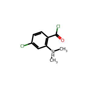 C[SiH](C)c1cc(Cl)ccc1C(=O)Cl